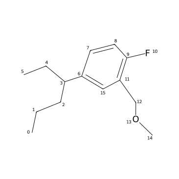 CCCC(CC)c1ccc(F)c(COC)c1